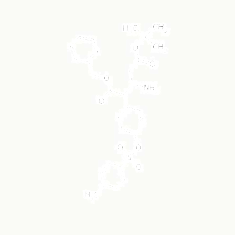 Cc1ccc(S(=O)(=O)Oc2ccc(C(C(=O)OCc3ccccc3)C(N)CC(=O)OC(C)(C)C)cc2)cc1